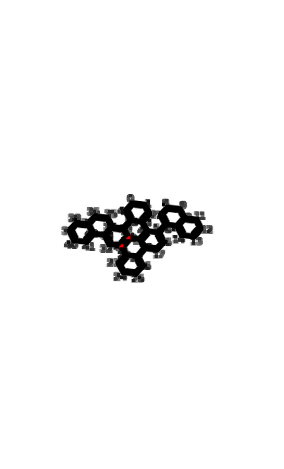 c1ccc(-c2c(-c3cccc4ccccc34)ccc3c2ccc2ccccc23)c(-c2cccc3c2ccc2ccccc23)c1